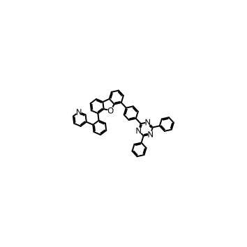 c1ccc(-c2nc(-c3ccccc3)nc(-c3ccc(-c4cccc5c4oc4c(-c6ccccc6-c6cccnc6)cccc45)cc3)n2)cc1